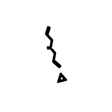 C1CC1.C=CCNCC=C